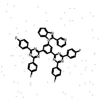 Fc1ccc(-c2nc(-c3ccc(F)cc3)nc(-c3cc(-c4nc(-c5ccc(F)cc5)nc(-c5ccc(F)cc5)n4)cc(-n4c(-c5cccnc5)nc5ccccc54)c3)n2)cc1